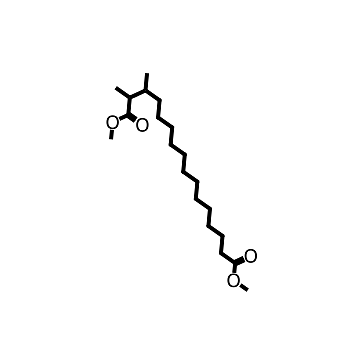 COC(=O)CCCCCCCCCCCCC(C)C(C)C(=O)OC